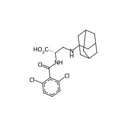 O=C(N[C@@H](CNC12CC3CC(CC(C3)C1)C2)C(=O)O)c1c(Cl)cccc1Cl